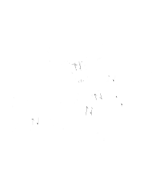 c1ccc(-c2nc(-c3ccccc3)nc(-c3ccccc3-n3c4ccc(N(c5ccccc5)c5ccccc5)cc4c4cc(-n5c6ccccc6c6ccccc65)ccc43)n2)cc1